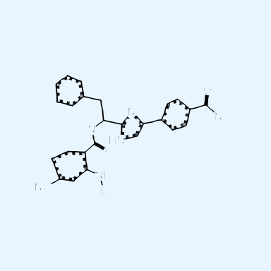 C=C(NC(Cc1ccccc1)c1nc(-c2ccc(C(N)=O)cc2)c[nH]1)c1ccc(C#N)cc1NCC